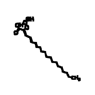 CCCCCCCCCCCCC/C=C/C=C/C=C(\OOO)C(=O)O